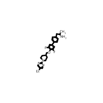 CCc1cnc(N2CCC(COc3c(F)cc(-c4ccc(CC(C)N)cc4)cc3F)CC2)nc1